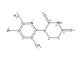 Cc1cc(C(C)C)c(C)nc1C1CCC(=O)NC1=O